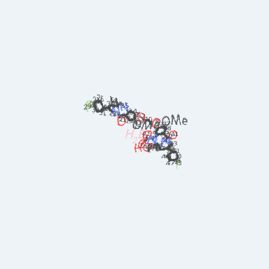 BOC(=O)N1c2cc(OCCCOc3cc4c(cc3OC)C(=O)N3C=C(c5ccc(F)cc5)C[C@H]3C=N4)c(OC)cc2C(=O)N2C=C(c3ccc(F)cc3)C[C@H]2[C@@H]1O